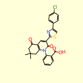 CC1(C)CC(=O)c2cc(-c3nc(-c4ccc(Cl)cc4)cs3)c(=O)n(-c3ccccc3C(=O)O)c2C1